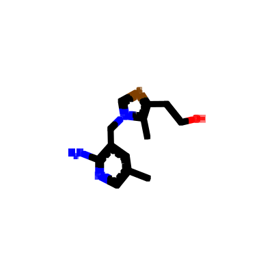 Cc1cnc(N)c(C[n+]2csc(CCO)c2C)c1